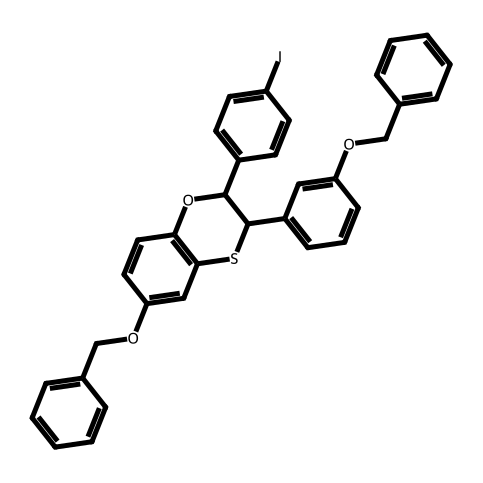 Ic1ccc(C2Oc3ccc(OCc4ccccc4)cc3SC2c2cccc(OCc3ccccc3)c2)cc1